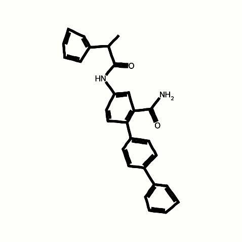 CC(C(=O)Nc1ccc(-c2ccc(-c3ccccc3)cc2)c(C(N)=O)c1)c1ccccc1